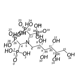 O=P(O)(O)C(N(C[C@H](O)[C@@H](O)[C@H](O)[C@H](O)CO)C(P(=O)(O)O)P(=O)(O)O)P(=O)(O)O